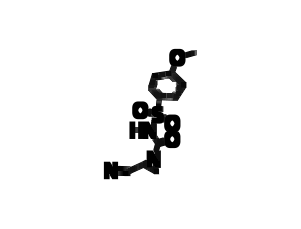 COc1ccc(S(=O)(=O)NC(=O)N2CC2C#N)cc1